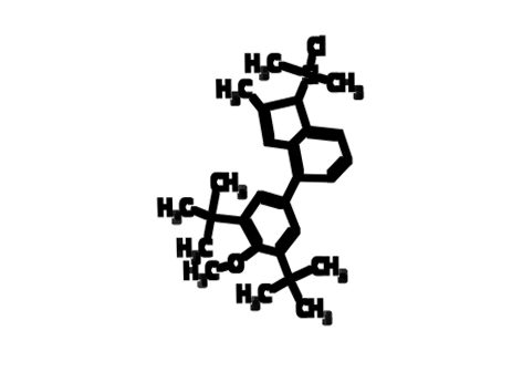 COc1c(C(C)(C)C)cc(-c2cccc3c2C=C(C)C3[Si](C)(C)Cl)cc1C(C)(C)C